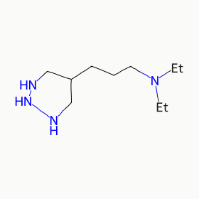 CCN(CC)CCCC1CNNNC1